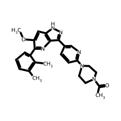 COc1cc2[nH]nc(-c3ccc(N4CCN(C(C)=O)CC4)nc3)c2nc1-c1cccc(C)c1C